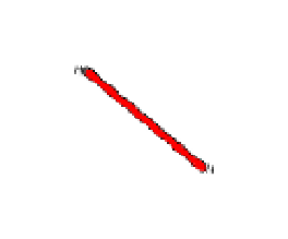 OCCOCCOCCOCCOCCOCCOCCOCCOCCOCCOCCOCCOCCOCCOCCOCCOCCOCCOCCOCCOCCOCCOCCOCCOCCOCCOCCOCCOCCOCCOCCOCCOCCOCCOCCOCCO